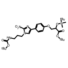 CC(C)(C)OC(=O)NCCCn1cc(-c2ccc(OCC(O[Si](C)(C)C(C)(C)C)C(=O)OC(C)(C)C)cc2)nc1[N+](=O)[O-]